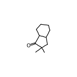 CC1(C)CC2CCCCC2C1=O